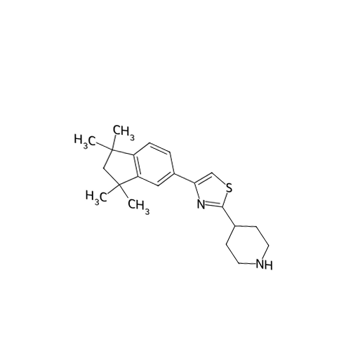 CC1(C)CC(C)(C)c2cc(-c3csc(C4CCNCC4)n3)ccc21